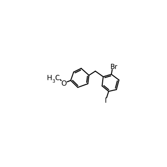 COc1ccc(Cc2cc(I)ccc2Br)cc1